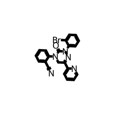 N#Cc1ccccc1N1CC(c2ccccn2)=NN(c2ccccc2Br)C1=O